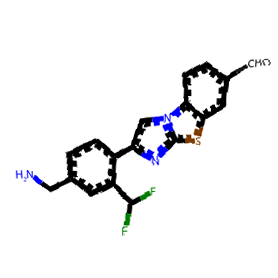 NCc1ccc(-c2cn3c(n2)sc2cc(C=O)ccc23)c(C(F)F)c1